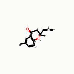 C=C=CC1(C)CC(=O)c2cc(C)ccc2O1